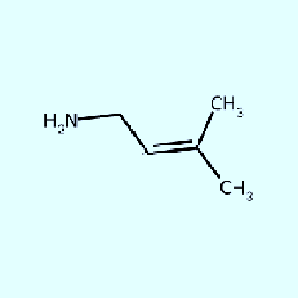 CC(C)=[C]CN